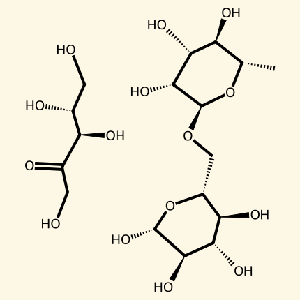 C[C@@H]1O[C@@H](OC[C@H]2O[C@@H](O)[C@H](O)[C@@H](O)[C@@H]2O)[C@H](O)[C@H](O)[C@H]1O.O=C(CO)[C@H](O)[C@H](O)CO